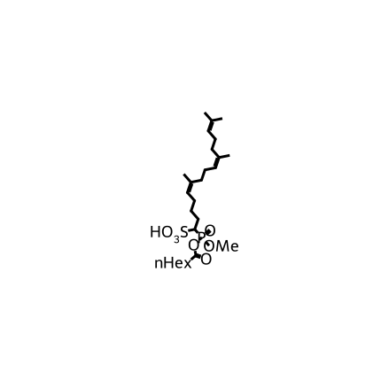 CCCCCCC(=O)OP(=O)(OC)C(CCCC=C(C)CCC=C(C)CCC=C(C)C)S(=O)(=O)O